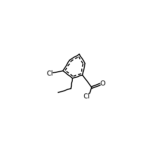 CCc1c(Cl)cccc1C(=O)Cl